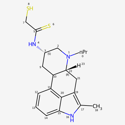 CCCN1C[C@@H](NC(=S)CS)CC2c3cccc4[nH]c(C)c(c34)C[C@H]21